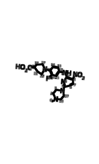 CN1CCN(c2ccc([N+](=O)[O-])c(Nc3ccc(N4CCC(C(=O)O)CC4)c(F)c3)n2)CC1